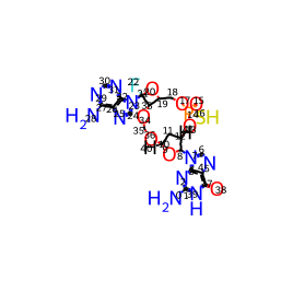 Nc1nc2c(ncn2C2O[C@H]3C[C@@H]2OP(=O)(S)OCC2OC(F)(n4cnc5c(N)ncnc54)C2OCO3)c(=O)[nH]1